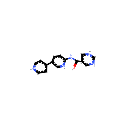 O=C(Nc1ccc(-c2ccncc2)cn1)c1cncnc1